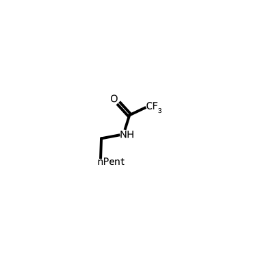 [CH2]CCCCCNC(=O)C(F)(F)F